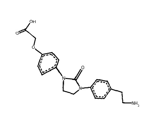 NCCc1ccc(N2CCN(c3ccc(OCC(=O)O)cc3)C2=O)cc1